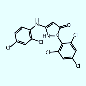 O=c1cc(Nc2ccc(Cl)cc2Cl)[nH]n1-c1c(Cl)cc(Cl)cc1Cl